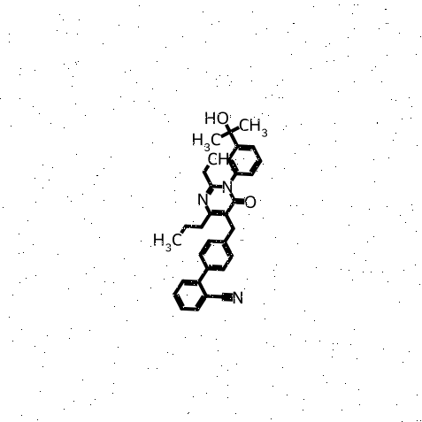 CCCc1nc(CC)n(-c2cccc(C(C)(C)O)c2)c(=O)c1Cc1ccc(-c2ccccc2C#N)cc1